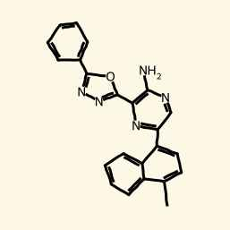 Cc1ccc(-c2cnc(N)c(-c3nnc(-c4ccccc4)o3)n2)c2ccccc12